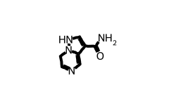 NC(=O)C1=CNN2CC=NC=C12